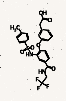 Cc1ccc(S(=O)(=O)Nc2cc(C(=O)NCC(F)(F)F)ccc2Oc2cccc(CC(=O)O)c2)cc1